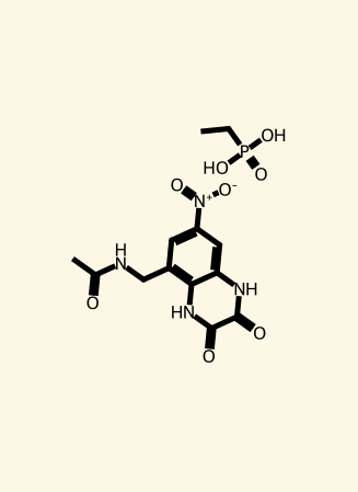 CC(=O)NCc1cc([N+](=O)[O-])cc2[nH]c(=O)c(=O)[nH]c12.CCP(=O)(O)O